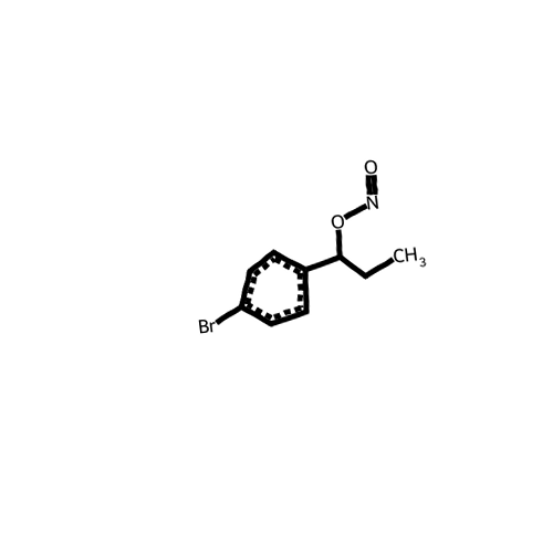 CCC(ON=O)c1ccc(Br)cc1